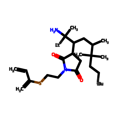 C=CC(=C)SCCN1C(=O)CC(C(CC(C)C(C)(C)CCC(C)(C)C)C(C)(N)CC)C1=O